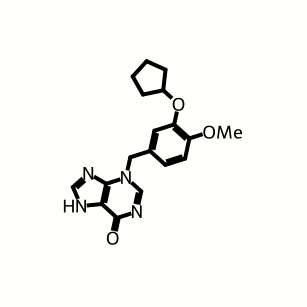 COc1ccc(Cn2cnc(=O)c3[nH]cnc32)cc1OC1CCCC1